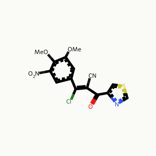 COc1cc(/C(Cl)=C(\C#N)C(=O)c2cscn2)cc([N+](=O)[O-])c1OC